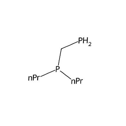 CCCP(CP)CCC